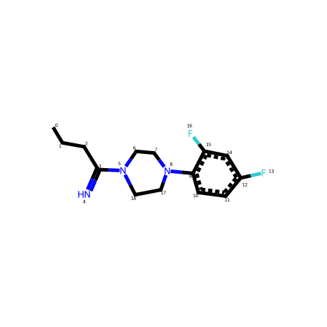 CCCC(=N)N1CCN(c2ccc(F)cc2F)CC1